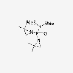 CSN(SC)P(=O)(N1CC1(C)C)N1CC1(C)C